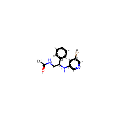 CCC(=O)NCC(Nc1cncc(Br)c1)c1ccccc1